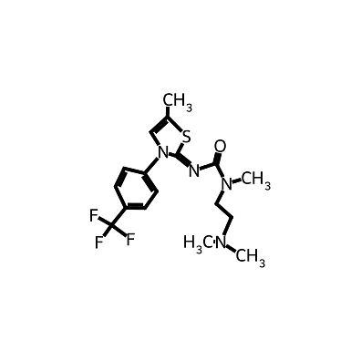 Cc1cn(-c2ccc(C(F)(F)F)cc2)/c(=N/C(=O)N(C)CCN(C)C)s1